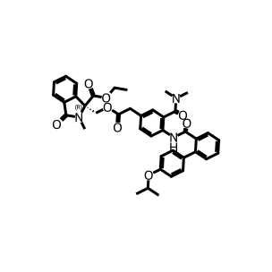 CCOC(=O)[C@]1(COC(=O)Cc2ccc(NC(=O)c3ccccc3-c3ccc(OC(C)C)cc3)c(C(=O)N(C)C)c2)c2ccccc2C(=O)N1C